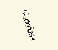 O=C(NCc1ccc(OCCC(F)(F)F)nc1)c1ccnc(NC(=O)C2CC2)n1